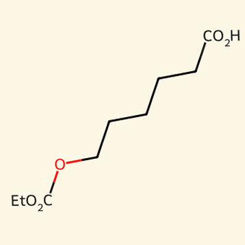 CCOC(=O)OCCCCCC(=O)O